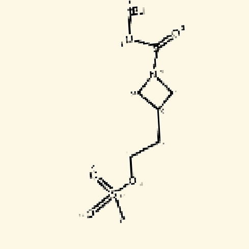 CC(C)(C)OC(=O)N1CC(CCOS(C)(=O)=O)C1